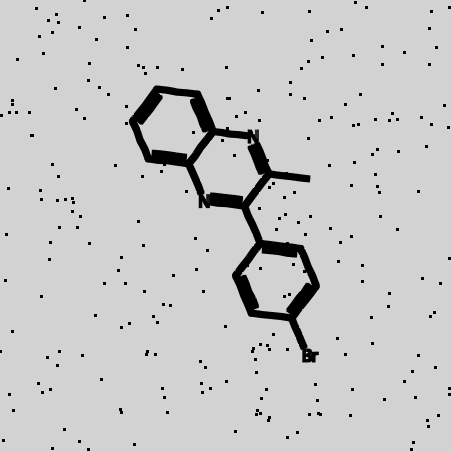 Cc1nc2ccccc2nc1-c1ccc(Br)cc1